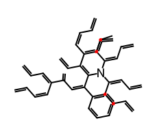 C=CC=C(/C=C\C=C)/C(C=C)=C(/C(=C\C(=C)C(/C=C\C=C)=C/C=C)c1ccccc1)N(C(/C=C\C)=C/C=C)C(/C=C\C=C)=C/C=C